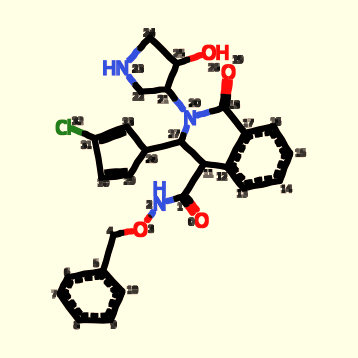 O=C(NOCc1ccccc1)C1c2ccccc2C(=O)N(C2CNCC2O)C1C1C=CC(Cl)=C1